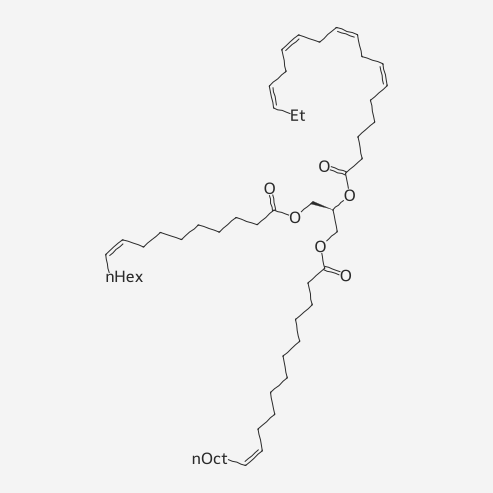 CC/C=C\C/C=C\C/C=C\C/C=C\CCCCC(=O)O[C@H](COC(=O)CCCCCCC/C=C\CCCCCC)COC(=O)CCCCCCCCC/C=C\CCCCCCCC